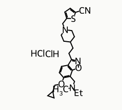 CCN(C)Cc1c(OCC2CC2)ccc2c(CCC3CCN(Cc4ccc(C#N)s4)CC3)noc12.Cl.Cl